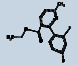 CCOC(=O)c1ccc(C)nc1-c1ccc(F)cc1F